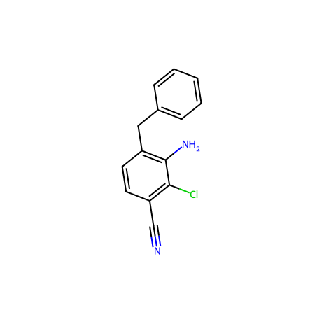 N#Cc1ccc(Cc2ccccc2)c(N)c1Cl